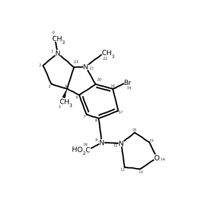 CN1CC[C@@]2(C)c3cc(N(C(=O)O)N4CCOCC4)cc(Br)c3N(C)C12